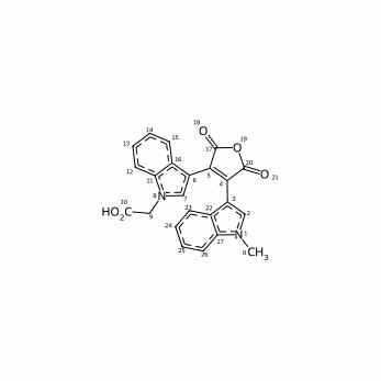 Cn1cc(C2=C(c3cn(CC(=O)O)c4ccccc34)C(=O)OC2=O)c2ccccc21